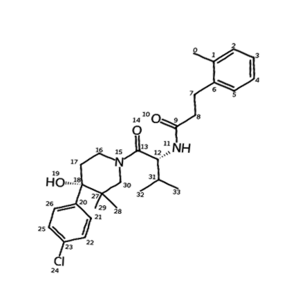 Cc1ccccc1CCC(=O)N[C@@H](C(=O)N1CC[C@](O)(c2ccc(Cl)cc2)C(C)(C)C1)C(C)C